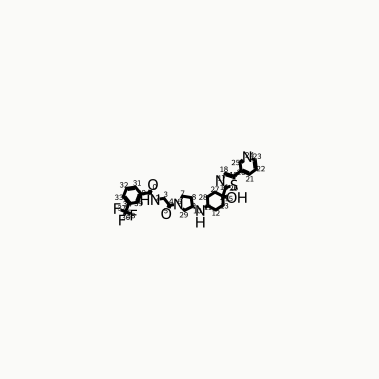 O=C(NCC(=O)N1CC[C@H](NC2CCC(O)(c3ncc(-c4cccnc4)s3)CC2)C1)c1cccc(C(F)(F)F)c1